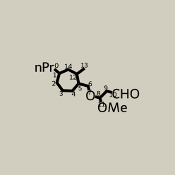 CCCC1CCCC(COC(CC=O)OC)C(C)C1